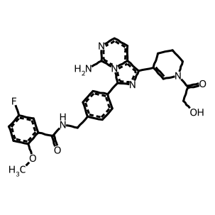 COc1ccc(F)cc1C(=O)NCc1ccc(-c2nc(C3=CN(C(=O)CO)CCC3)c3ccnc(N)n23)cc1